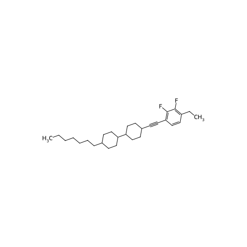 CCCCCCCC1CCC(C2CCC(C#Cc3ccc(CC)c(F)c3F)CC2)CC1